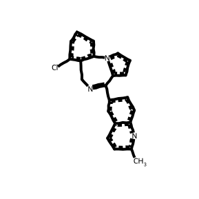 Cc1ccc2cc(C3=NCc4c(Cl)cccc4-n4cccc43)ccc2n1